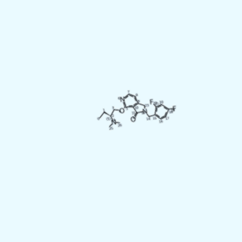 CC[C@@H](COc1nccc2c1C(=O)N(Cc1ccc(F)cc1F)C2)N(C)C